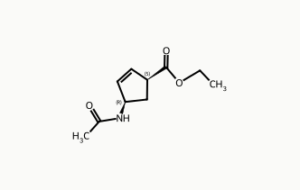 CCOC(=O)[C@@H]1C=C[C@H](NC(C)=O)C1